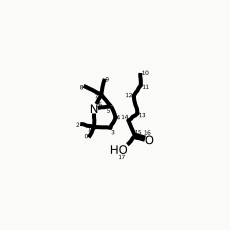 CC1(C)CCC2N1C2(C)C.CCCCCC(=O)O